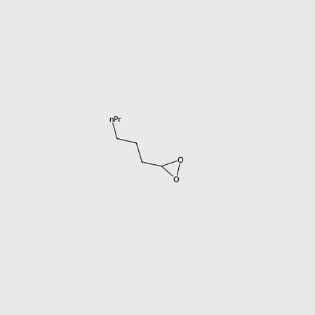 CCCCCCC1OO1